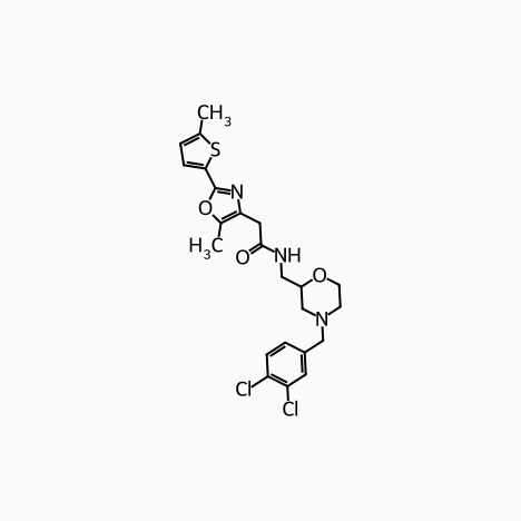 Cc1ccc(-c2nc(CC(=O)NCC3CN(Cc4ccc(Cl)c(Cl)c4)CCO3)c(C)o2)s1